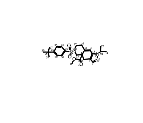 COC(=O)C12Cc3cnn(C(C)C)c3C=C1CCN(S(=O)(=O)c1ccc(C(C)(C)C)cc1)C2